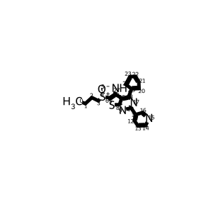 CCCC[S@+]([O-])c1sc2nc(-c3cccnc3)nc(-c3ccccc3)c2c1N